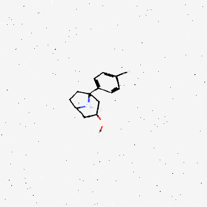 CCOC1CC2CCC(c3ccc(C)cc3)(C1)N2C